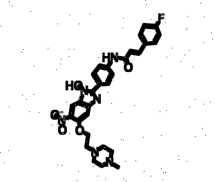 CN1CCN(CCOc2cc3nc(-c4ccc(NC(=O)/C=C/c5ccc(F)cc5)cc4)n(O)c3cc2[N+](=O)[O-])CC1